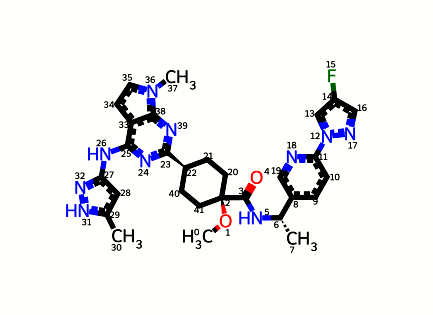 CO[C@]1(C(=O)N[C@@H](C)c2ccc(-n3cc(F)cn3)nc2)CC[C@H](c2nc(Nc3cc(C)[nH]n3)c3ccn(C)c3n2)CC1